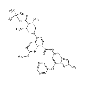 COc1ncc2c(N3C[C@@H](C)N(C(=O)OC(C)(C)C)[C@@H](C)C3)ccc(C(=O)Nc3cc(Oc4cncnc4)c4nn(C)cc4c3)c2n1